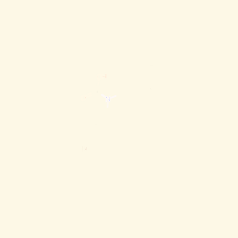 O=C(O)n1c2cc(Br)ccc2c2ccc(Br)cc21